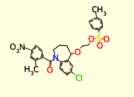 Cc1ccc(S(=O)(=O)OCCOC2CCCN(C(=O)c3ccc([N+](=O)[O-])cc3C)c3ccc(Cl)cc32)cc1